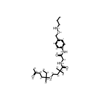 CCCNOCc1ccc(NC(=O)CNC(=O)C(C)(C)CCOC(C)(CC)CCC(C)=O)cc1